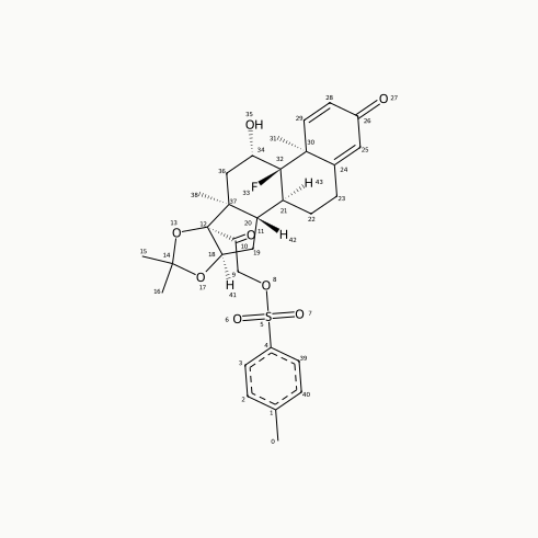 Cc1ccc(S(=O)(=O)OCC(=O)[C@@]23OC(C)(C)O[C@@H]2C[C@H]2[C@@H]4CCC5=CC(=O)C=C[C@]5(C)[C@@]4(F)[C@@H](O)C[C@@]23C)cc1